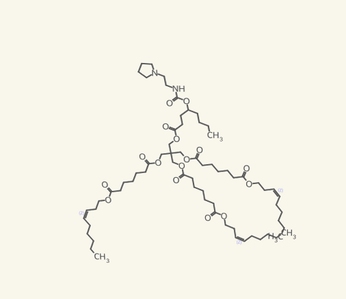 CCCCC/C=C\CCOC(=O)CCCCCC(=O)OCC(COC(=O)CCCCCC(=O)OCC/C=C\CCCCC)(COC(=O)CCCCCC(=O)OCC/C=C\CCCCC)COC(=O)CCC(CCCC)OC(=O)NCCN1CCCC1